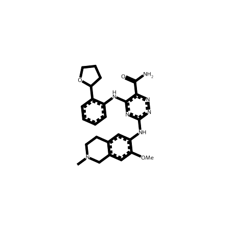 COc1cc2c(cc1Nc1nnc(C(N)=O)c(Nc3ccccc3C3CCCO3)n1)CCN(C)C2